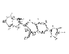 CN1CCN(c2ccc3cc(-c4nc5ccccc5s4)c(=O)oc3n2)CC1